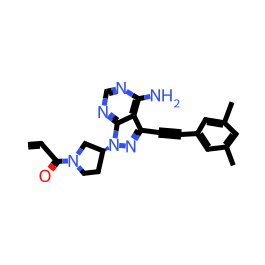 C=CC(=O)N1CC[C@H](n2nc(C#Cc3cc(C)cc(C)c3)c3c(N)ncnc32)C1